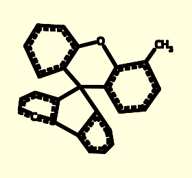 Cc1cccc2c1Oc1ccccc1C21c2ccccc2-c2ccccc21